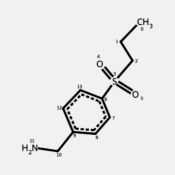 CCCS(=O)(=O)c1ccc(CN)cc1